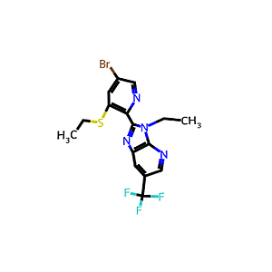 CCSc1cc(Br)cnc1-c1nc2cc(C(F)(F)F)cnc2n1CC